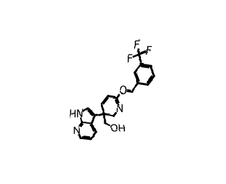 OCC1(c2c[nH]c3ncccc23)C=CC(OCc2cccc(C(F)(F)F)c2)=NC1